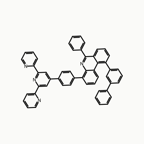 c1ccc(-c2cccc(-c3cccc4c(-c5ccccc5)nc5c(-c6ccc(-c7cc(-c8ccccn8)nc(-c8ccccn8)c7)cc6)cccc5c34)c2)cc1